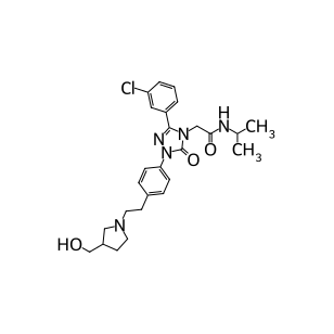 CC(C)NC(=O)Cn1c(-c2cccc(Cl)c2)nn(-c2ccc(CCN3CCC(CO)C3)cc2)c1=O